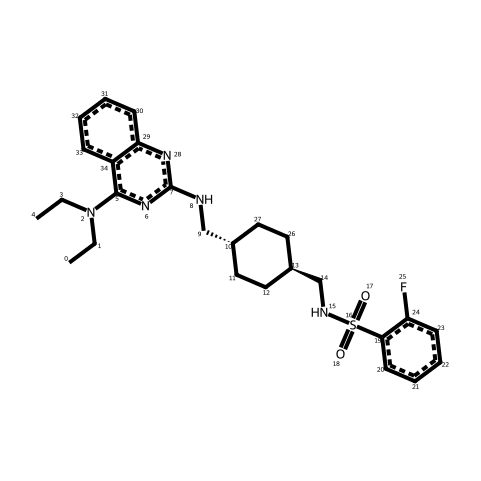 CCN(CC)c1nc(NC[C@H]2CC[C@H](CNS(=O)(=O)c3ccccc3F)CC2)nc2ccccc12